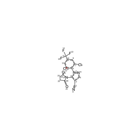 N#Cc1cnn(-c2c(Cl)cc(C(F)(F)F)cc2Cl)c1N1C(=O)CCC1=O